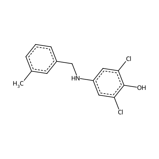 Cc1cccc(CNc2cc(Cl)c(O)c(Cl)c2)c1